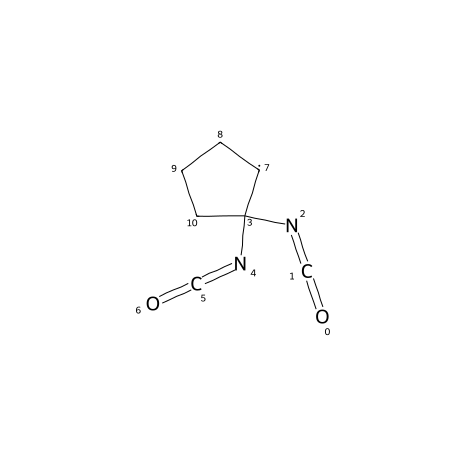 O=C=NC1(N=C=O)[CH]CCC1